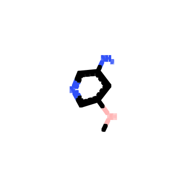 CBc1cncc(N)c1